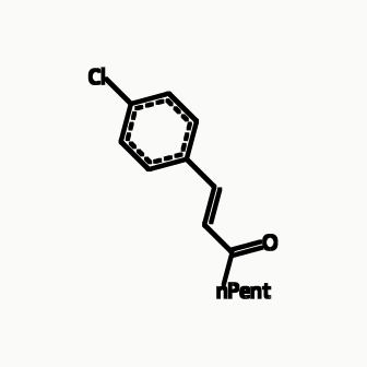 CCCCCC(=O)C=Cc1ccc(Cl)cc1